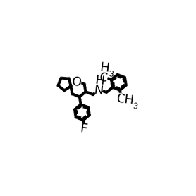 Cc1cccc(C)c1CNCC1COC2(CCCC2)CC1c1ccc(F)cc1